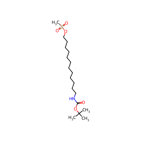 CC(C)(C)OC(=O)NCCCCCCCCCCCCOS(C)(=O)=O